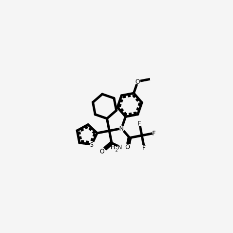 COc1ccc(N(C(=O)C(F)(F)F)C(C(N)=O)(c2cccs2)C2CCCCC2)cc1